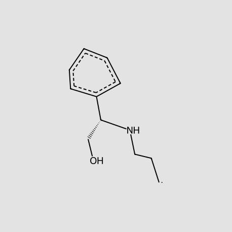 [CH2]CCN[C@H](CO)c1ccccc1